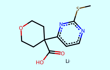 CSc1nccc(C2(C(=O)O)CCOCC2)n1.[Li]